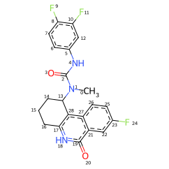 CN(C(=O)Nc1ccc(F)c(F)c1)C1CCCc2[nH]c(=O)c3cc(F)ccc3c21